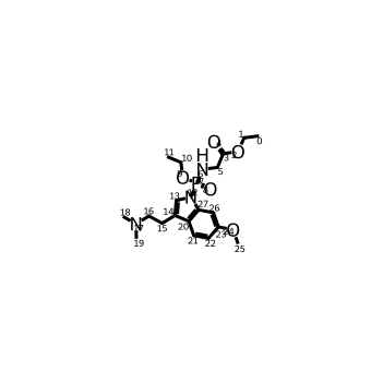 CCOC(=O)CNP(=O)(OCC)n1cc(CCN(C)C)c2ccc(OC)cc21